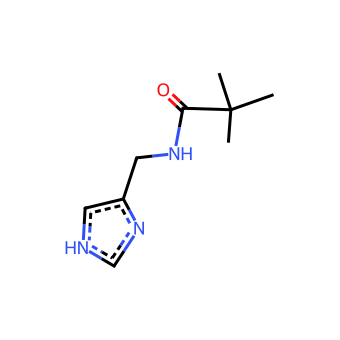 CC(C)(C)C(=O)NCc1c[nH]cn1